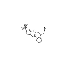 N#CCc1cc(=O)n(Cc2ccc([N+](=O)[O-])cc2)c2ccccc12